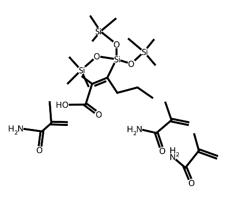 C=C(C)C(N)=O.C=C(C)C(N)=O.C=C(C)C(N)=O.CCC/C(=C(/C)C(=O)O)[Si](O[Si](C)(C)C)(O[Si](C)(C)C)O[Si](C)(C)C